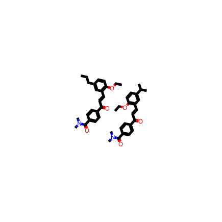 CCCc1ccc(OCC)c(C=CC(=O)c2ccc(C(=O)N(C)C)cc2)c1.CCOc1ccc(C(C)C)cc1C=CC(=O)c1ccc(C(=O)N(C)C)cc1